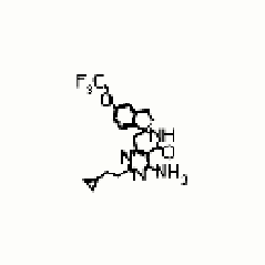 Nc1nc(CCC2CC2)nc2c1C(=O)N[C@@]1(CCc3cc(OCC(F)(F)F)ccc31)C2